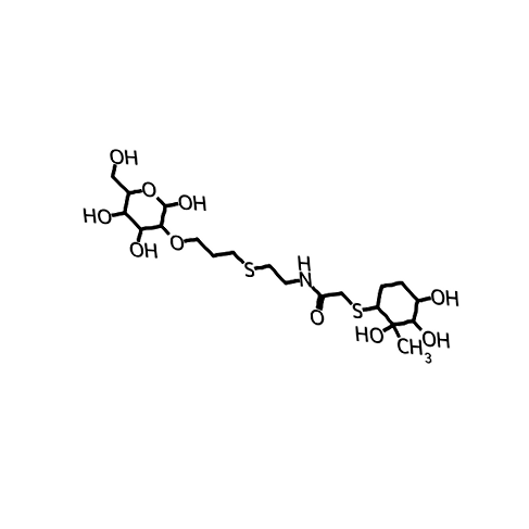 CC1(O)C(SCC(=O)NCCSCCCOC2C(O)OC(CO)C(O)C2O)CCC(O)C1O